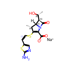 C[C@@H](O)[C@H]1C(=O)N2C(C(=O)[O-])=C(S/C=C\c3cnc(N)s3)[C@H](C)[C@H]12.[Na+]